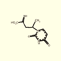 CC(CC(=N)C(=O)O)n1ccc(=O)[nH]c1=O